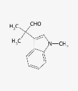 Cn1cc(C(C)(C)C=O)c2ccccc21